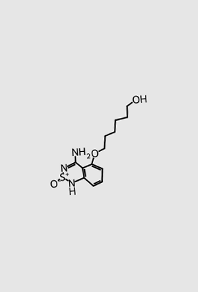 NC1=N[S+]([O-])Nc2cccc(OCCCCCCO)c21